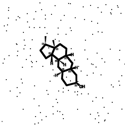 C[C@H]1CC[C@H]2[C@@H]3C[C@@H]4CC[C@H](O)C[C@H]4C[C@H]3CC[C@]12C